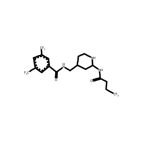 O=C(CCC(F)(F)F)NC1CC(CNC(=O)c2cc(C(F)(F)F)cc(C(F)(F)F)c2)CCN1